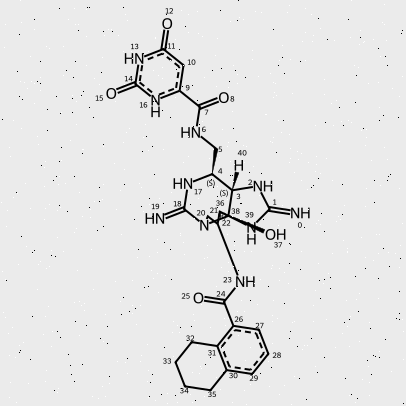 N=C1N[C@H]2[C@H](CNC(=O)c3cc(=O)[nH]c(=O)[nH]3)NC(=N)N3CC(NC(=O)c4cccc5c4CCCC5)[C@@H](O)C23N1